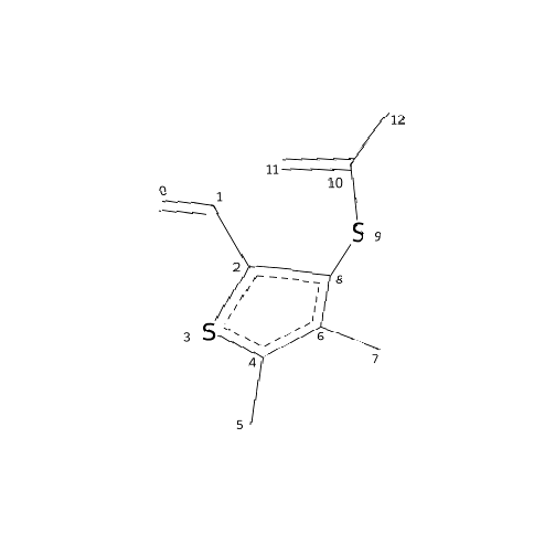 C=Cc1sc(C)c(C)c1SC(=C)C